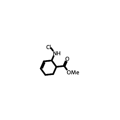 COC(=O)C1CCC=CC1NCl